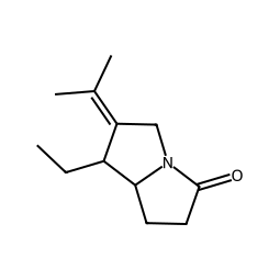 CCC1C(=C(C)C)CN2C(=O)CCC12